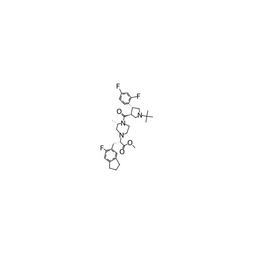 COC(=O)[C@H](Cc1cc2c(cc1F)CCC2)N1CCN(C(=O)[C@@H]2CN(C(C)(C)C)C[C@H]2c2ccc(F)cc2F)[C@@H](C)C1